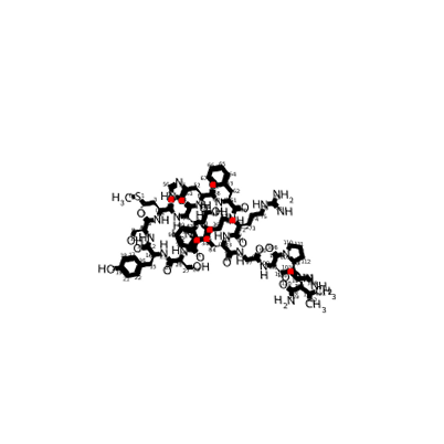 CSCC[C@H](NC(=O)[C@H](CO)NC(=O)[C@H](Cc1ccc(O)cc1)NC(=O)[C@H](CO)NC(=O)[C@@H](N)CCCCN)C(=O)N[C@@H](CCC(=O)O)C(=O)N[C@@H](Cc1c[nH]cn1)C(=O)N[C@@H](Cc1ccccc1)C(=O)N[C@@H](CCCNC(=N)N)C(=O)N[C@@H](Cc1c[nH]c2ccccc12)C(=O)NCC(=O)N[C@@H](CCCCN)C(=O)N1CCC[C@H]1C(=O)N[C@H](C(N)=O)C(C)C